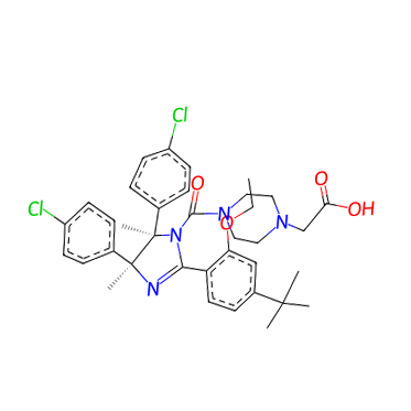 CCOc1cc(C(C)(C)C)ccc1C1=N[C@@](C)(c2ccc(Cl)cc2)[C@@](C)(c2ccc(Cl)cc2)N1C(=O)N1CCN(CC(=O)O)CC1